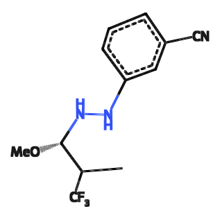 CO[C@H](NNc1cccc(C#N)c1)C(C)C(F)(F)F